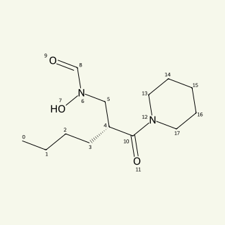 CCCC[C@H](CN(O)C=O)C(=O)N1CCCCC1